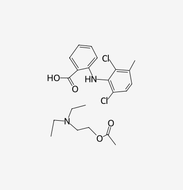 CCN(CC)CCOC(C)=O.Cc1ccc(Cl)c(Nc2ccccc2C(=O)O)c1Cl